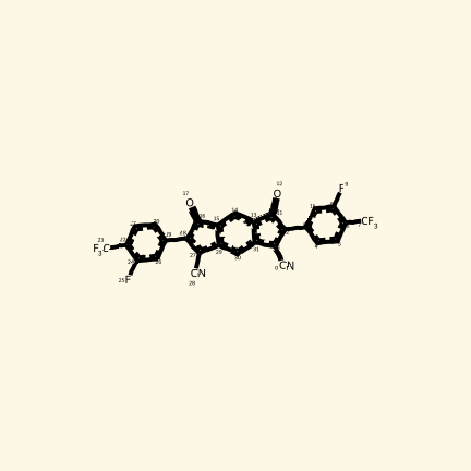 N#Cc1c(-c2ccc(C(F)(F)F)c(F)c2)c(=O)c2cc3c(=O)c(-c4ccc(C(F)(F)F)c(F)c4)c(C#N)c3cc12